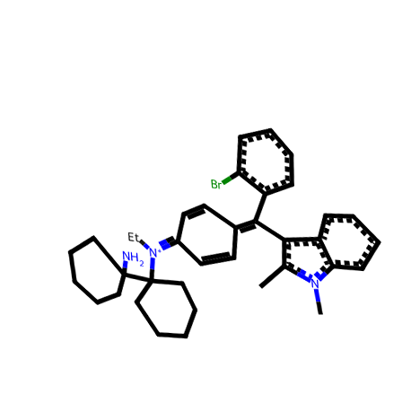 CC[N+](=C1C=CC(=C(c2ccccc2Br)c2c(C)n(C)c3ccccc23)C=C1)C1(C2(N)CCCCC2)CCCCC1